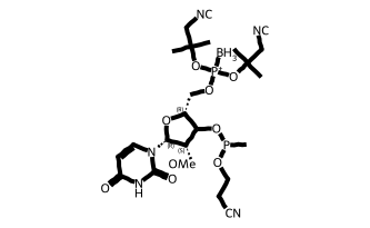 [BH3-][P+](OC[C@H]1O[C@@H](n2ccc(=O)[nH]c2=O)[C@@H](OC)C1OP(C)OCCC#N)(OC(C)(C)C[N+]#[C-])OC(C)(C)C[N+]#[C-]